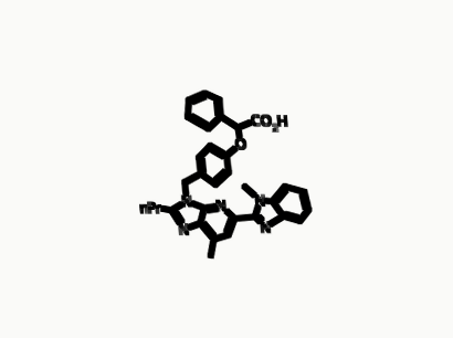 CCCc1nc2c(C)cc(-c3nc4ccccc4n3C)nc2n1Cc1ccc(OC(C(=O)O)c2ccccc2)cc1